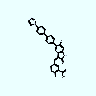 Cc1ccc(C=C2C(=O)Nc3cc(F)c(-c4ccc(-c5ccc(-n6cccn6)cc5)cc4)cc32)cc1C(=O)O